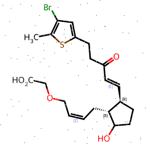 Cc1sc(CCC(=O)/C=C/[C@H]2CCC(O)[C@@H]2C/C=C\COCC(=O)O)cc1Br